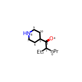 CCCC(CC)C(=O)C1CCNCC1